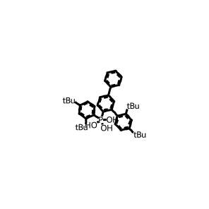 CC(C)(C)c1ccc(-c2cc(-c3ccccc3)ccc2P(O)(O)(O)c2ccc(C(C)(C)C)cc2C(C)(C)C)c(C(C)(C)C)c1